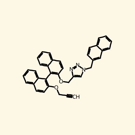 C#CCOc1ccc2ccccc2c1-c1c(OCc2cn(Cc3ccc4ccccc4c3)nn2)ccc2ccccc12